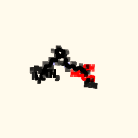 CCCCC(=O)OCC(O)(O)CCC/C=C\C[C@H]1CCC[C@@H]1/C=C/CCC(C)(C)CCC